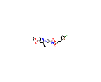 C#Cc1cc(C(=O)OC(C)C)c(C)nc1N1CC(C(=O)NS(=O)(=O)CC=Cc2ccc(Cl)s2)C1